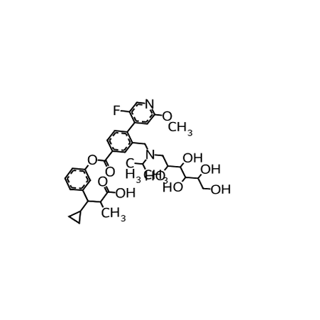 COc1cc(-c2ccc(C(=O)Oc3cccc(C(C4CC4)C(C)C(=O)O)c3)cc2CN(CC(O)C(O)C(O)C(O)CO)C(C)C)c(F)cn1